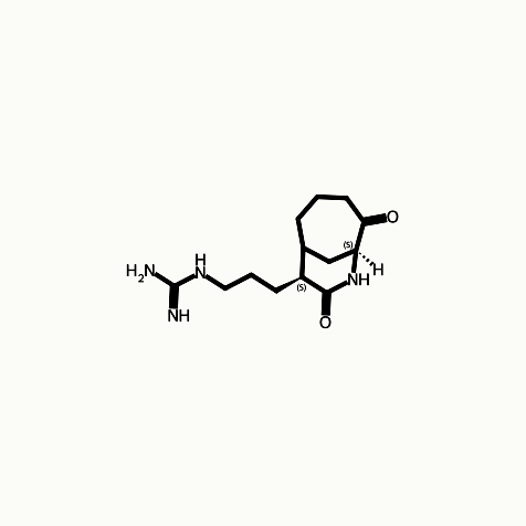 N=C(N)NCCC[C@@H]1C(=O)N[C@H]2CC1CCCC2=O